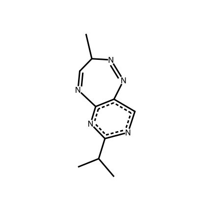 CC1C=Nc2nc(C(C)C)ncc2N=N1